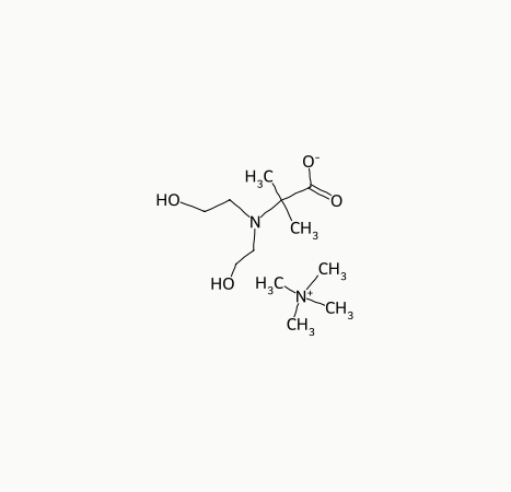 CC(C)(C(=O)[O-])N(CCO)CCO.C[N+](C)(C)C